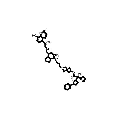 O=C(OC1CC2(C1)CN(CCCn1nnc3cc(CNC[C@H](O)c4ccc(O)c5[nH]c(=O)ccc45)c4c(c31)CCC4)C2)C(O)(c1cccs1)c1ccc(-c2ccccc2)s1